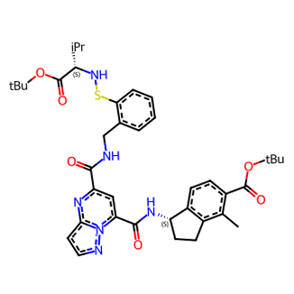 Cc1c(C(=O)OC(C)(C)C)ccc2c1CC[C@@H]2NC(=O)c1cc(C(=O)NCc2ccccc2SN[C@H](C(=O)OC(C)(C)C)C(C)C)nc2ccnn12